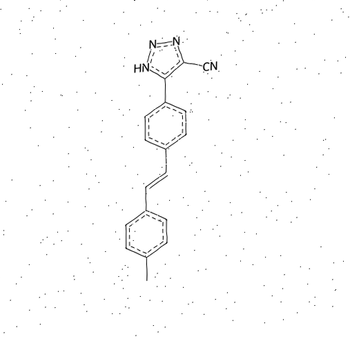 Cc1ccc(/C=C/c2ccc(-c3[nH]nnc3C#N)cc2)cc1